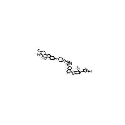 CCOc1c(-c2cn[nH]c2)ccn2nc(Nc3ccc(S(=O)(=O)NC4CC5(CCN(c6ccc7c(c6)CN(C6CCC(=O)NC6=O)C7=O)CC5)C4)cc3C)nc12